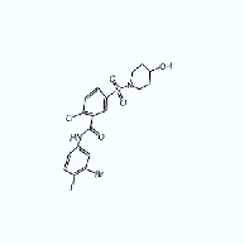 O=C(Nc1ccc(F)c(Br)c1)c1cc(S(=O)(=O)N2CCC(O)CC2)ccc1Cl